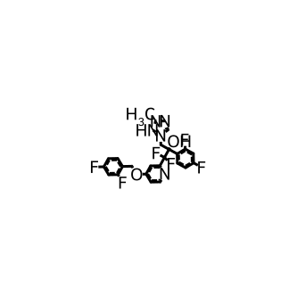 CN1N=CN(CC(O)(c2ccc(F)cc2F)C(F)(F)c2cc(OCc3ccc(F)cc3F)ccn2)N1